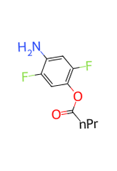 CCCC(=O)Oc1cc(F)c(N)cc1F